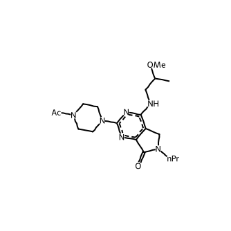 CCCN1Cc2c(NCC(C)OC)nc(N3CCN(C(C)=O)CC3)nc2C1=O